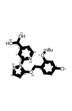 CCCCOc1cc(Cl)ccc1COc1ccnn1-c1cc(C(O)O)ccn1